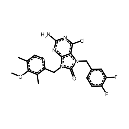 COc1c(C)cnc(Cn2c(=O)n(Cc3ccc(F)c(F)c3)c3c(Cl)nc(N)nc32)c1C